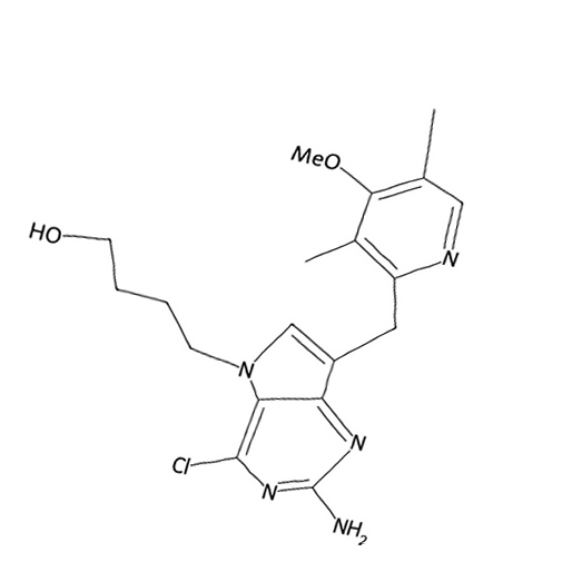 COc1c(C)cnc(Cc2cn(CCCCO)c3c(Cl)nc(N)nc23)c1C